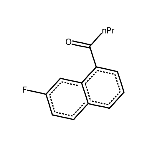 CCCC(=O)c1cccc2ccc(F)cc12